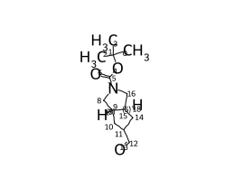 CC(C)(C)OC(=O)N1C[C@H]2CC(C=O)C[C@@H]2C1